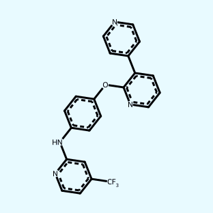 FC(F)(F)c1ccnc(Nc2ccc(Oc3ncccc3-c3ccncc3)cc2)c1